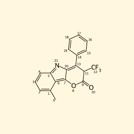 Cc1cccc2c1=C1OC(=O)C(C(F)(F)F)C(c3ccccc3)=C1N=2